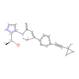 C=C(/C=C(\PC)c1ccc(C#CC2(C)CC2)cc1)Cn1ccnc1[C@H](C)O